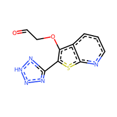 O=CCOc1c(-c2nn[nH]n2)sc2ncccc12